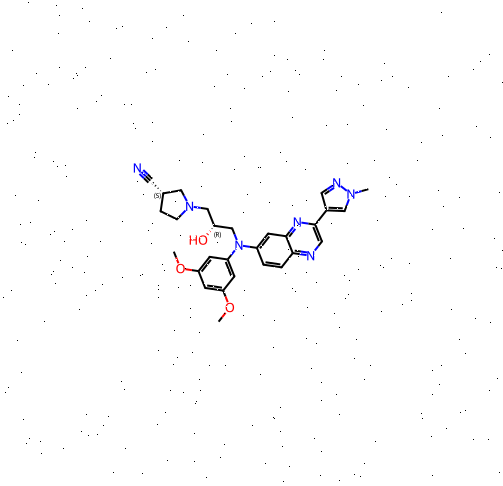 COc1cc(OC)cc(N(C[C@H](O)CN2CC[C@H](C#N)C2)c2ccc3ncc(-c4cnn(C)c4)nc3c2)c1